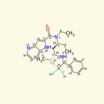 CC[C@H](C[C@H](CC)N(CC)C(=O)c1cc2ncccc2[nH]1)NC(c1ccccc1)C(F)(F)F